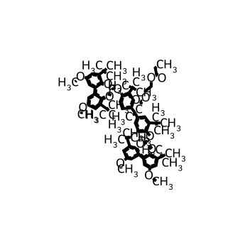 CCC(=O)OCCOC(=O)CC(C)(c1ccc(Op2oc3c(C(C)(C)C)cc(OC)cc3c3cc(OC)cc(C(C)(C)C)c3o2)c(C(C)(C)C)c1)c1ccc(Op2oc3c(C(C)(C)C)cc(OC)cc3c3cc(OC)cc(C(C)(C)C)c3o2)c(C(C)(C)C)c1